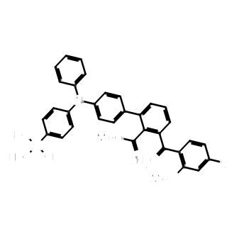 C=C(c1ccc(Cl)cc1OC)c1cccc(-c2ccc(N(c3ccccc3)c3ccc([Si](C)(C)C)cc3)cc2)c1C(=C)OC